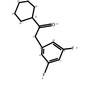 O=C(Cc1cc(F)cc(F)c1)C1CC[CH]CC1